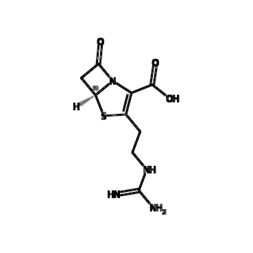 N=C(N)NCCC1=C(C(=O)O)N2C(=O)C[C@@H]2S1